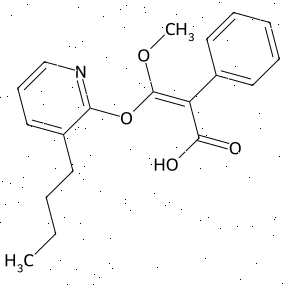 CCCCc1cccnc1OC(OC)=C(C(=O)O)c1ccccc1